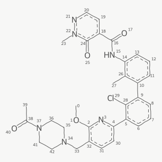 COc1nc(-c2cccc(-c3cccc(NC(=O)c4ccnn(C)c4=O)c3C)c2Cl)ccc1CN1CCN(C(C)=O)CC1